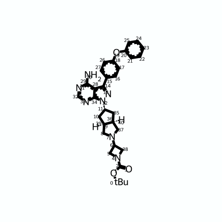 CC(C)(C)OC(=O)N1CC(N2C[C@H]3C[C@H](n4nc(-c5ccc(Oc6ccccc6)cc5)c5c(N)ncnc54)C[C@H]3C2)C1